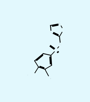 O=C(O)c1ccc(S(=O)(=O)Nc2ncns2)cc1Br